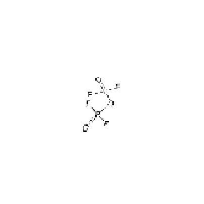 O=P(F)(F)OP(=O)(F)F